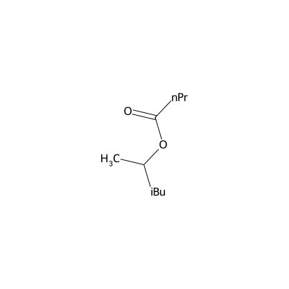 CCCC(=O)OC(C)C(C)CC